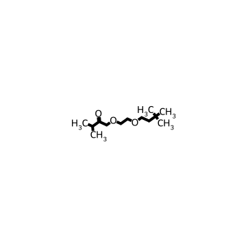 CC(C)C(=O)COCCOCCC(C)(C)C